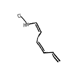 C=C/C=C\C=C/NCl